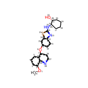 COc1cccc2c(Oc3ccc4nc(N[C@@H]5CCCC[C@H]5O)sc4c3)ccnc12